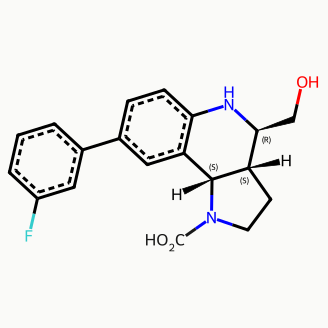 O=C(O)N1CC[C@H]2[C@H](CO)Nc3ccc(-c4cccc(F)c4)cc3[C@H]21